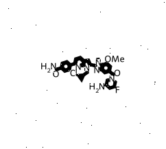 COc1cc(C(=O)N2C[C@H](N)C[C@@H](F)C2)cc2nc(-c3cc4ccc(-c5ccc(C(N)=O)cc5Cl)nc4n3CC3CC3)n(C)c12